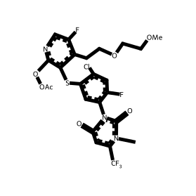 COCCOCCc1c(F)cnc(OOC(C)=O)c1Sc1cc(-n2c(=O)cc(C(F)(F)F)n(C)c2=O)c(F)cc1Cl